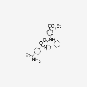 CCOC(=O)c1ccc(NC(=O)[C@@H]2[C@H](C3CCCCC3)CCN2C(=O)[C@H]2CC[C@H](C(N)CC)CC2)cc1